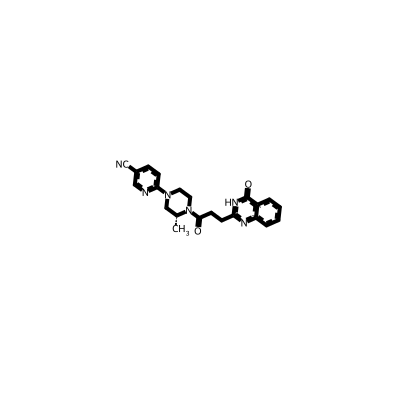 C[C@@H]1CN(c2ccc(C#N)cn2)CCN1C(=O)CCc1nc2ccccc2c(=O)[nH]1